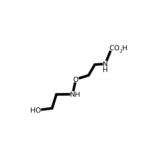 O=C(O)NCCONCCO